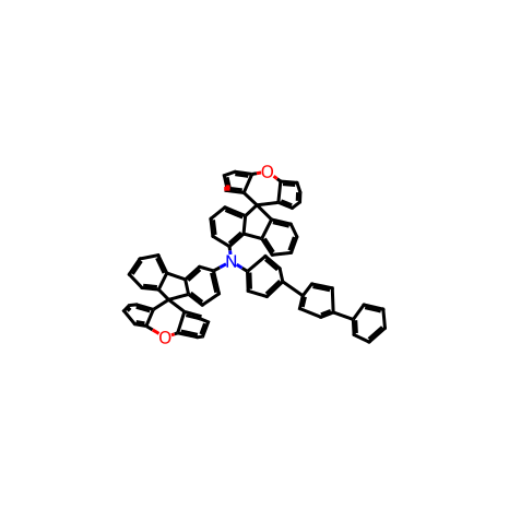 c1ccc(-c2ccc(-c3ccc(N(c4ccc5c(c4)-c4ccccc4C54c5ccccc5Oc5ccccc54)c4cccc5c4-c4ccccc4C54c5ccccc5Oc5ccccc54)cc3)cc2)cc1